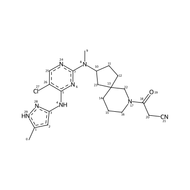 Cc1cc(Nc2nc(N(C)C3CCC4(CCCN(C(=O)CC#N)C4)C3)ncc2Cl)n[nH]1